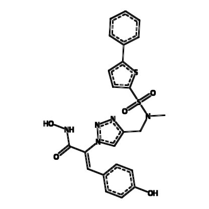 CN(Cc1cn(C(=Cc2ccc(O)cc2)C(=O)NO)nn1)S(=O)(=O)c1ccc(-c2ccccc2)s1